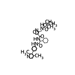 Cc1ccnc(C)c1-c1ccc(NC(=O)C(NC(=O)c2conc2CNC(=O)OC(C)(C)C)C2CCCCC2)cc1